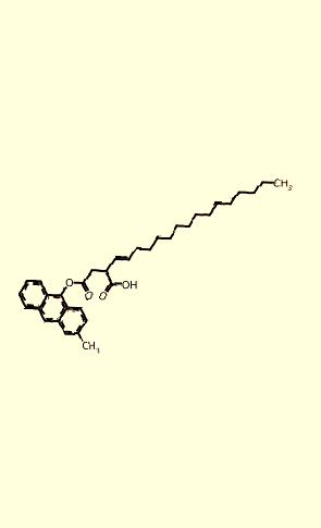 CCCCCCCCCCCCCCC=CC(CC(=O)Oc1c2ccccc2cc2cc(C)ccc12)C(=O)O